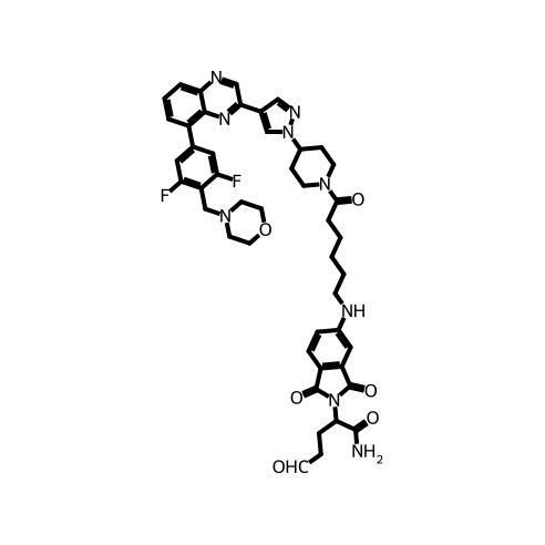 NC(=O)C(CCC=O)N1C(=O)c2ccc(NCCCCCC(=O)N3CCC(n4cc(-c5cnc6cccc(-c7cc(F)c(CN8CCOCC8)c(F)c7)c6n5)cn4)CC3)cc2C1=O